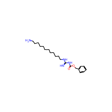 N=C(NCCCCCCCCCCCCN)NC(=O)OCc1ccccc1